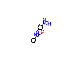 Cc1ncc(-c2ccc3c(c2)OCc2cc(-c4ccccc4)nn2C3)[nH]1